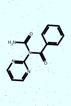 NC(=O)N(C(=O)c1ccccc1)c1ncccn1